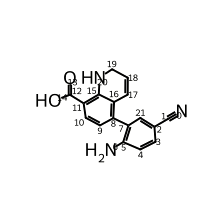 N#Cc1ccc(N)c(-c2ccc(C(=O)O)c3c2C=CCN3)c1